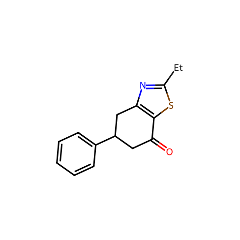 CCc1nc2c(s1)C(=O)CC(c1ccccc1)C2